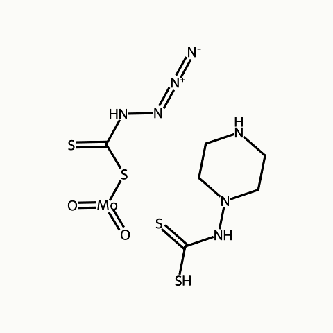 S=C(S)NN1CCNCC1.[N-]=[N+]=NNC(=S)[S][Mo](=[O])=[O]